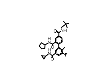 Cc1c(F)cc(C(=O)NC2CC2)cc1-c1ccc(C(=O)NCC(C)(C)C)cc1C(=O)NC1CCCC1